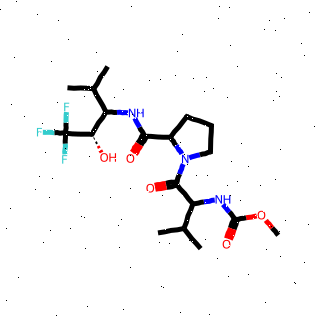 COC(=O)NC(C(=O)N1CCCC1C(=O)NC(C(C)C)[C@H](O)C(F)(F)F)C(C)C